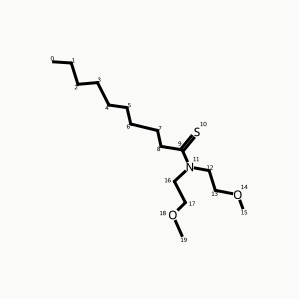 CCCCCCCCCC(=S)N(CCOC)CCOC